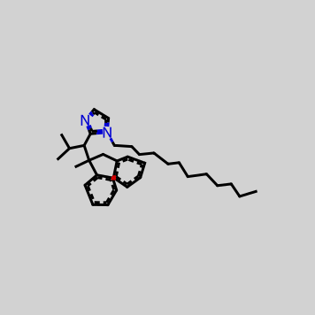 CCCCCCCCCCCCn1ccnc1C(C(C)C)C(C)(Cc1ccccc1)c1ccccc1